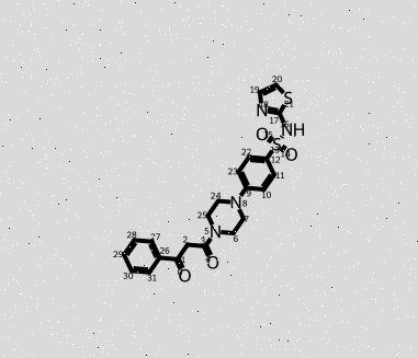 O=C(CC(=O)N1CCN(c2ccc(S(=O)(=O)Nc3nccs3)cc2)CC1)c1ccccc1